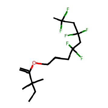 C=C(OCCCC(F)(F)CC(F)(F)CC(C)(F)F)C(C)(C)CC